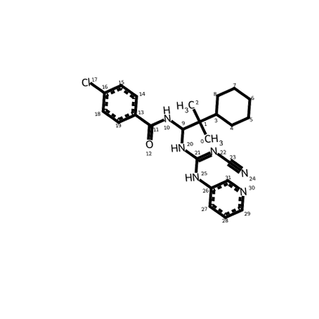 CC(C)(C1CCCCC1)C(NC(=O)c1ccc(Cl)cc1)N/C(=N/C#N)Nc1cccnc1